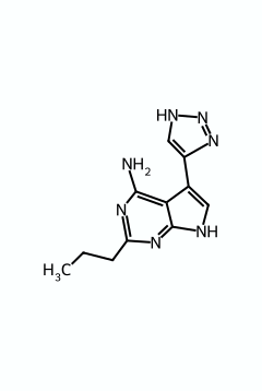 CCCc1nc(N)c2c(-c3c[nH]nn3)c[nH]c2n1